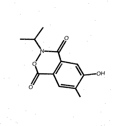 Cc1cc2c(=O)on(C(C)C)c(=O)c2cc1O